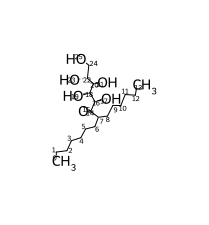 CCCCCCCC(CCCCCC)C(=O)[C@H](O)[C@@H](O)[C@H](O)[C@H](O)CO